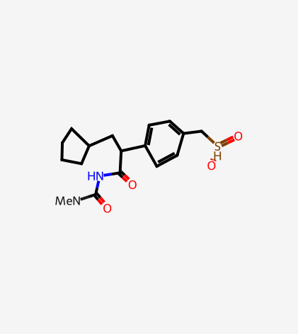 CNC(=O)NC(=O)C(CC1CCCC1)c1ccc(C[SH](=O)=O)cc1